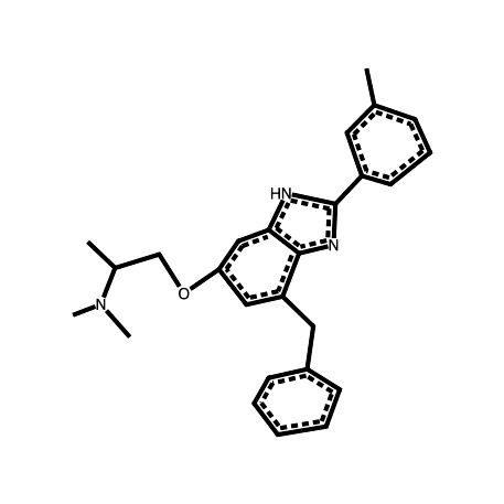 Cc1cccc(-c2nc3c(Cc4ccccc4)cc(OCC(C)N(C)C)cc3[nH]2)c1